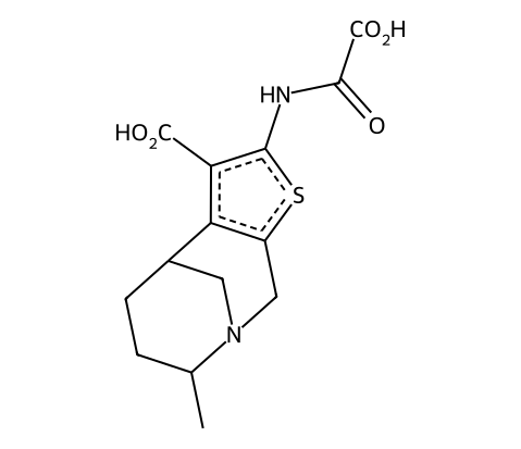 CC1CCC2CN1Cc1sc(NC(=O)C(=O)O)c(C(=O)O)c12